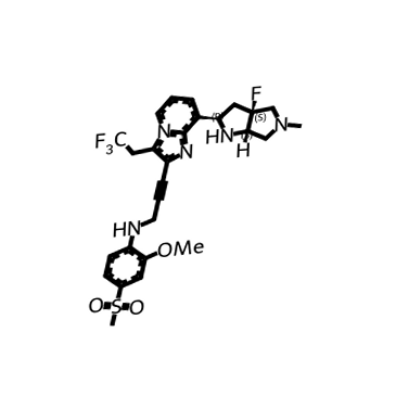 COc1cc(S(C)(=O)=O)ccc1NCC#Cc1nc2c([C@H]3C[C@]4(F)CN(C)C[C@@H]4N3)cccn2c1CC(F)(F)F